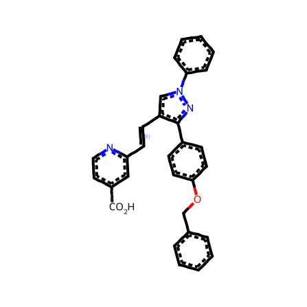 O=C(O)c1ccnc(/C=C/c2cn(-c3ccccc3)nc2-c2ccc(OCc3ccccc3)cc2)c1